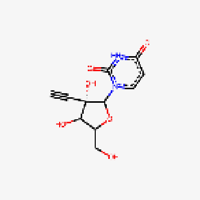 C#C[C@]1(O)C(O)C(CO)OC1n1ccc(=O)[nH]c1=O